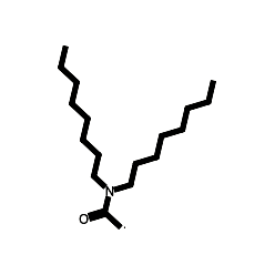 [CH2]C(=O)N(CCCCCCCC)CCCCCCCC